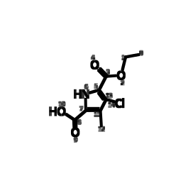 CCOC(=O)c1[nH]c(C(=O)O)c(C)c1Cl